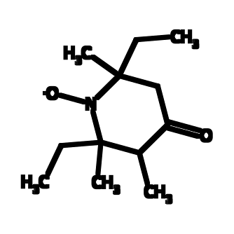 CCC1(C)CC(=O)C(C)C(C)(CC)N1[O]